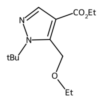 CCOCc1c(C(=O)OCC)cnn1C(C)(C)C